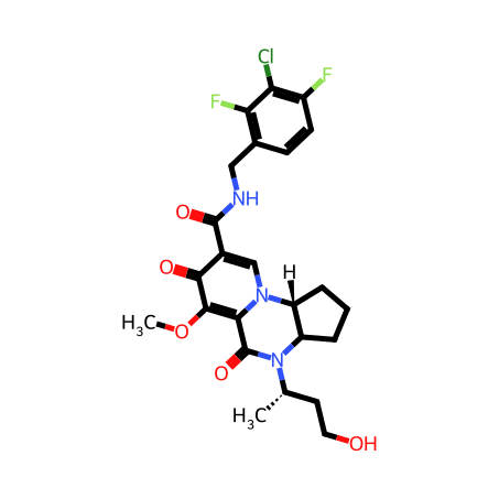 COc1c2n(cc(C(=O)NCc3ccc(F)c(Cl)c3F)c1=O)[C@@H]1CCCC1N([C@@H](C)CCO)C2=O